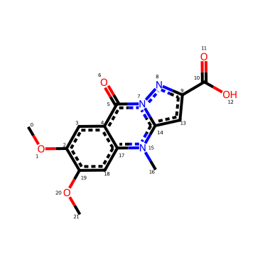 COc1cc2c(=O)n3nc(C(=O)O)cc3n(C)c2cc1OC